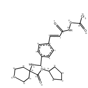 O=C(C=Cc1ccc(CNC2(C(=O)OC3CCCC3)CCOCC2)cc1)NOC(=O)C(F)(F)F